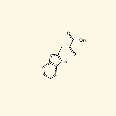 O=C(O)C(=O)Cc1cc2ccccc2[nH]1